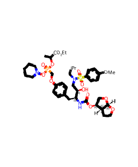 CCOC(=O)C(C)OP(=O)(COc1ccc(C[C@H](NC(=O)O[C@H]2CO[C@H]3OCC[C@H]32)[C@H](O)CN(CC(C)C)S(=O)(=O)c2ccc(OC)cc2)cc1)ON1CCCCC1